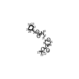 CN(CC[C@H]1CN(C(=O)OC(C)(C)C)CCO1)C(=O)OCc1ccccc1